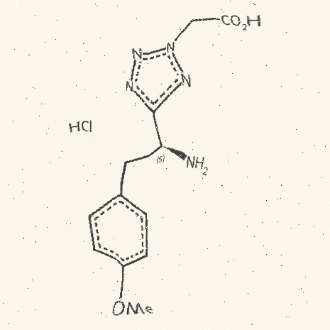 COc1ccc(C[C@H](N)c2nnn(CC(=O)O)n2)cc1.Cl